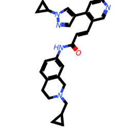 O=C(/C=C/c1cnccc1-c1cnn(C2CC2)c1)Nc1ccc2c(c1)CN(CC1CC1)CC2